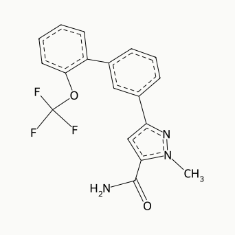 Cn1nc(-c2cccc(-c3ccccc3OC(F)(F)F)c2)cc1C(N)=O